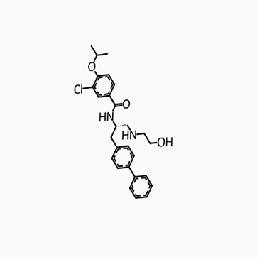 CC(C)Oc1ccc(C(=O)N[C@H](CNCCO)Cc2ccc(-c3ccccc3)cc2)cc1Cl